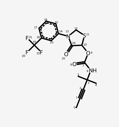 CC#CC(C)(C)NC(=O)OC1SCN(c2cccc(C(F)(F)F)c2)C1=O